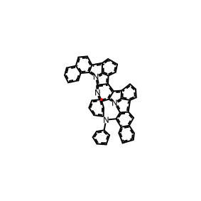 c1ccc(N(c2ccccc2)c2c3ccccc3cc3c4cccc5c6c7c8cccc9c%10ccc%11ccccc%11c%10n(c7ncc6n(c23)c45)c98)cc1